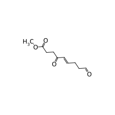 COC(=O)CCC(=O)/C=C/CCC=O